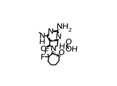 CNc1nc(N)nc2c1C(=O)N([C@H]1[C@@H](O)CCCCC1(F)F)C2.O=CO